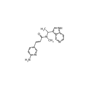 CC(c1c[nH]c2ccncc12)N(C)C(=O)C=Cc1ccc(N)nc1